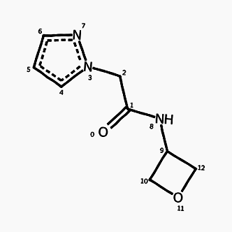 O=C(Cn1cccn1)NC1COC1